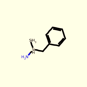 N[SiH]([SiH3])Cc1ccccc1